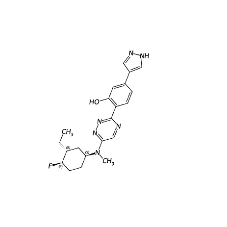 CC[C@@H]1C[C@@H](N(C)c2cnc(-c3ccc(-c4cn[nH]c4)cc3O)nn2)CC[C@H]1F